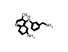 N#Cc1cnc2ccc(N)cc2c1Nc1cccc(CN)c1